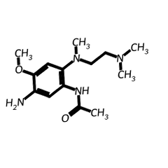 COc1cc(N(C)CCN(C)C)c(NC(C)=O)cc1N